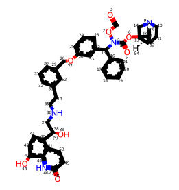 O=CON(C(=O)O[C@H]1CN2CCC1CC2)C(c1ccccc1)c1cccc(OCc2cccc(CCNC[C@@H](O)c3ccc(O)c4[nH]c(=O)ccc34)c2)c1